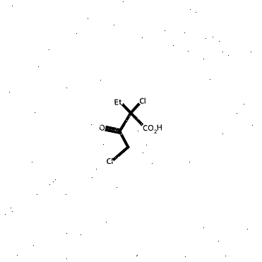 CCC(Cl)(C(=O)O)C(=O)CCl